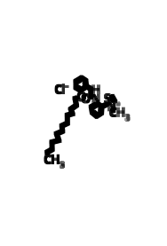 CCCCCCCCCCCCCCOc1ccccc1CC(=O)Nc1ccccc1-c1scc[n+]1C.[Cl-]